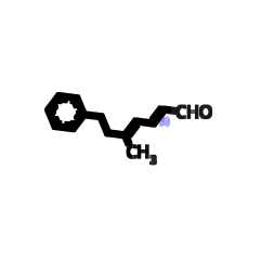 CC(=C/C=C/C=O)CCc1ccccc1